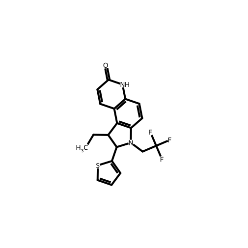 CCC1c2c(ccc3[nH]c(=O)ccc23)N(CC(F)(F)F)C1c1cccs1